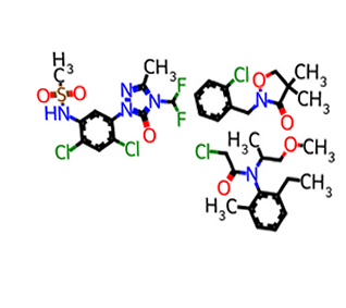 CC1(C)CON(Cc2ccccc2Cl)C1=O.CCc1cccc(C)c1N(C(=O)CCl)C(C)COC.Cc1nn(-c2cc(NS(C)(=O)=O)c(Cl)cc2Cl)c(=O)n1C(F)F